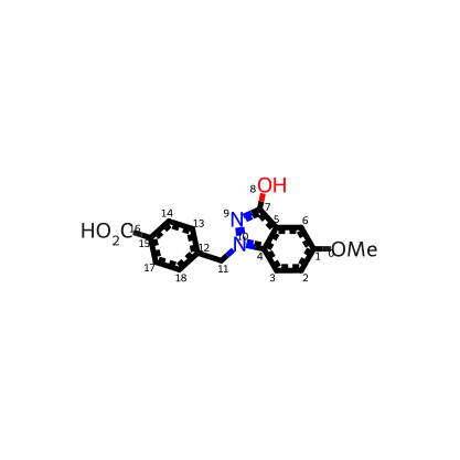 COc1ccc2c(c1)c(O)nn2Cc1ccc(C(=O)O)cc1